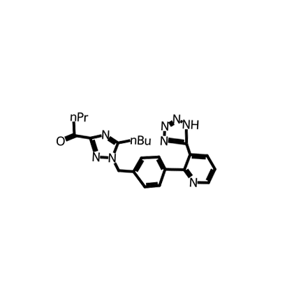 CCCCc1nc(C(=O)CCC)nn1Cc1ccc(-c2ncccc2-c2nnn[nH]2)cc1